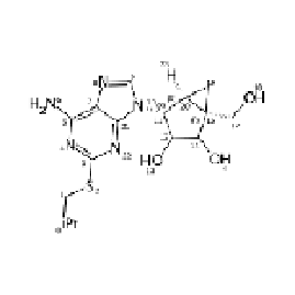 CC(C)CSc1nc(N)c2ncn([C@H]3C(O)C(O)[C@]4(CO)C[C@H]34)c2n1